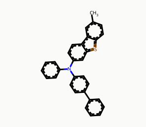 Cc1ccc2sc3cc(N(c4ccccc4)c4ccc(-c5ccccc5)cc4)ccc3c2c1